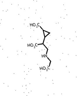 O=C(O)CNCC(C(=O)O)C1CC1C(=O)O